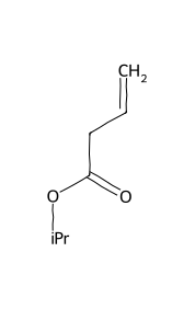 C=CCC(=O)OC(C)C